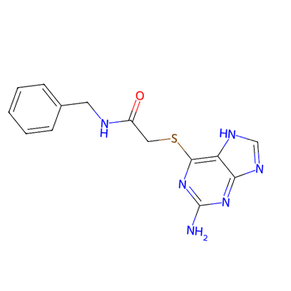 Nc1nc(SCC(=O)NCc2ccccc2)c2[nH]cnc2n1